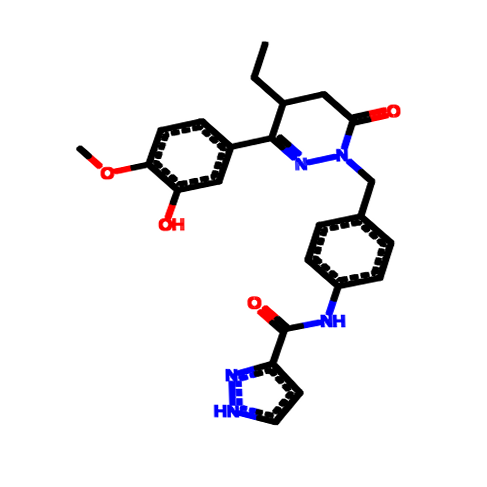 CCC1CC(=O)N(Cc2ccc(NC(=O)c3cc[nH]n3)cc2)N=C1c1ccc(OC)c(O)c1